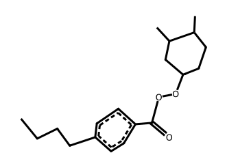 CCCCc1ccc(C(=O)OO[C]2CCC(C)C(C)C2)cc1